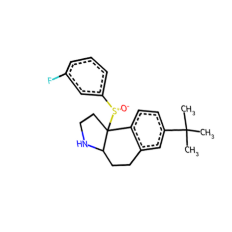 CC(C)(C)c1ccc2c(c1)CCC1NCCC21[S+]([O-])c1cccc(F)c1